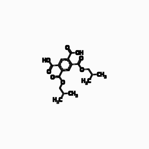 CC(C)COC(=O)c1cc(C(=O)OCC(C)C)c(C(=O)O)cc1C(=O)O